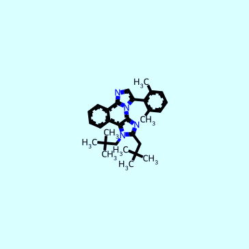 Cc1cccc(C)c1-c1cnc2c3ccccc3c3c(nc(CC(C)(C)C)n3CC(C)(C)C)n12